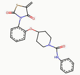 C=C1SC(=O)N(c2ccccc2OC2CCN(C(=O)Nc3ccccc3)CC2)C1=O